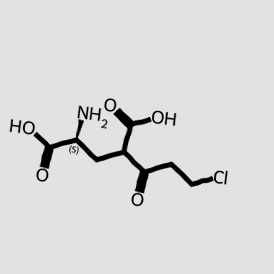 N[C@@H](CC(C(=O)O)C(=O)CCCl)C(=O)O